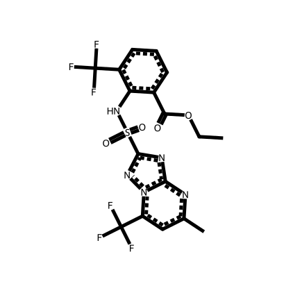 CCOC(=O)c1cccc(C(F)(F)F)c1NS(=O)(=O)c1nc2nc(C)cc(C(F)(F)F)n2n1